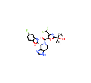 CC(C)(O)c1nc(C(F)F)c(C(=O)N2CCc3[nH]cnc3[C@@H]2c2nc3cc(F)ccc3o2)o1